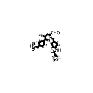 CCC1CC(C=O)N(Cc2ccc(NC(=O)c3c[nH]cn3)cc2)N=C1c1ccc(C[SH](=O)=O)cc1